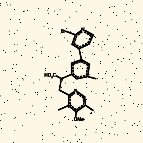 COc1c(C)cnc(CN(C(=O)O)c2cc(C)cc(-c3ccnc(Br)c3)c2)c1C